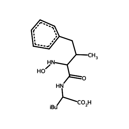 CCC(C)C(NC(=O)C(NO)C(C)Cc1ccccc1)C(=O)O